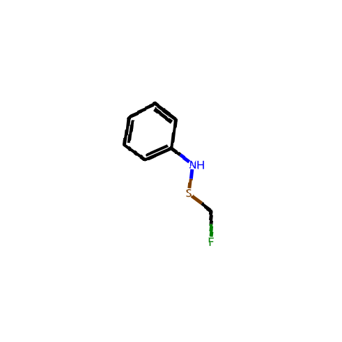 FCSNc1ccccc1